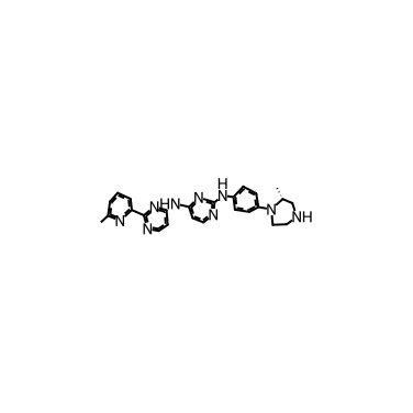 Cc1cccc(-c2nccc(Nc3ccnc(Nc4ccc(N5CCNC[C@H]5C)cc4)n3)n2)n1